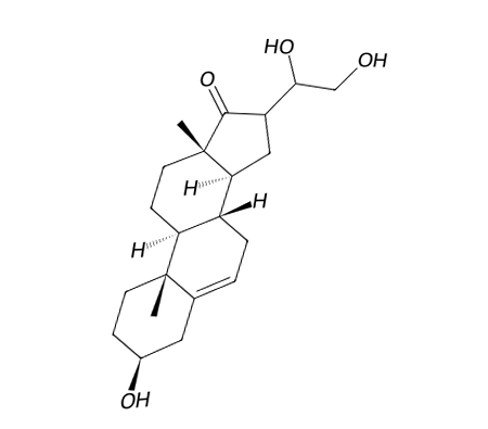 C[C@]12CC[C@H](O)CC1=CC[C@@H]1[C@@H]2CC[C@]2(C)C(=O)C(C(O)CO)C[C@@H]12